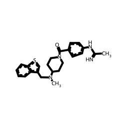 CC(=N)Nc1ccc(C(=O)N2CCC(N(C)Cc3csc4ccccc34)CC2)cc1